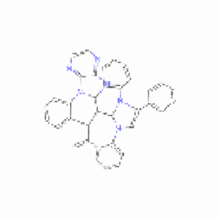 C=C1c2ccccc2N2C=C(c3ccccc3)N(c3ccccc3)C2C2C1c1ccccc1N1c3nccnc3N(C)C21